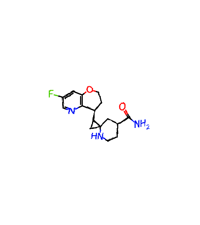 NC(=O)C1CCNC2(C1)CC2[C@@H]1CCOc2cc(F)cnc21